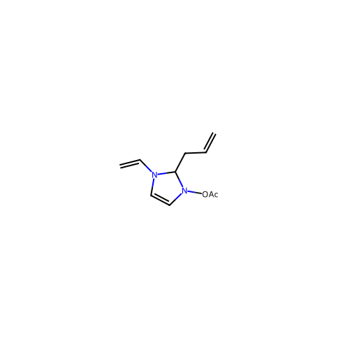 C=CCC1N(C=C)C=CN1OC(C)=O